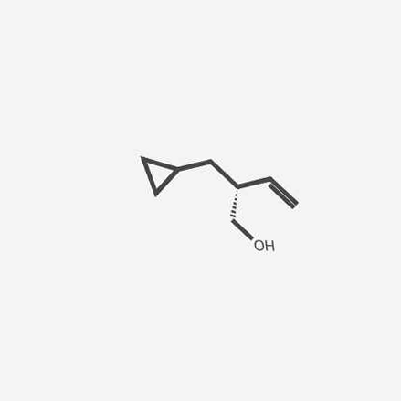 C=C[C@H](CO)CC1CC1